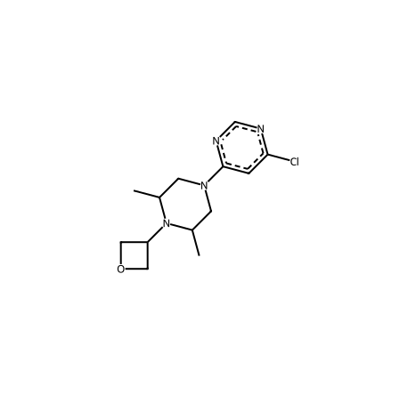 CC1CN(c2cc(Cl)ncn2)CC(C)N1C1COC1